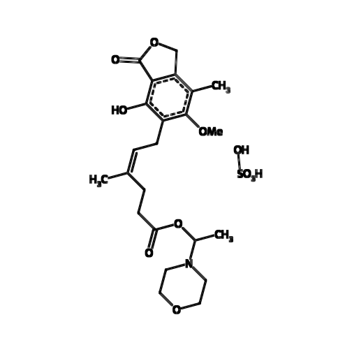 COc1c(C)c2c(c(O)c1CC=C(C)CCC(=O)OC(C)N1CCOCC1)C(=O)OC2.O=S(=O)(O)O